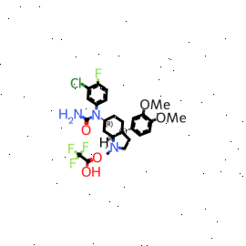 COc1ccc([C@@]23CC[C@@H](N(C(N)=O)c4ccc(F)c(Cl)c4)C[C@@H]2N(C)CC3)cc1OC.O=C(O)C(F)(F)F